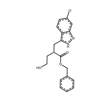 O=C(OCc1ccccc1)N(CCO)Cc1[nH]nc2cc(Cl)ccc12